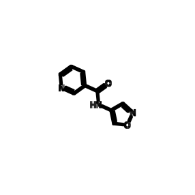 O=C(Nc1cnoc1)c1cccnc1